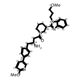 COCCCn1c([C@@H]2CCCN(C(=O)C[C@H](N)Cc3ccc(-c4ccc(OC)nc4)cc3)C2)nc2ccccc21